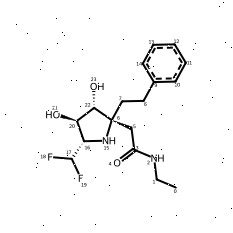 CCNC(=O)C[C@@]1(CCc2ccccc2)N[C@H](C(F)F)[C@@H](O)[C@@H]1O